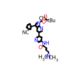 CC(OC(=O)C(C)(C)C)n1cc(-c2cccc(C#N)c2)c2cc(-c3cncc(NC(=O)C=CCN(C)C)c3)cnc21